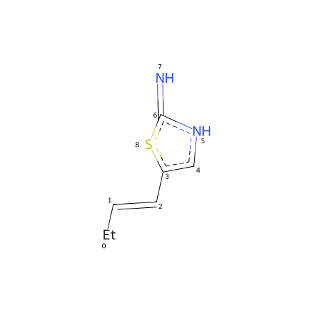 CC/C=C/c1c[nH]c(=N)s1